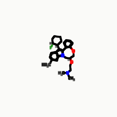 CN(C)CCO[C@@H]1COc2ccccc2-c2c([C@@H]3CCCC[C@H]3F)c3ccc(C(=O)O)cc3n2C1